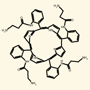 NCCC(=O)Nc1ccccc1-c1c2nc(c(-c3ccccc3NC(=O)CCN)c3ccc([nH]3)c(-c3ccccc3NC(=O)CCN)c3nc(c(-c4ccccc4NC(=O)CCN)c4ccc1[nH]4)C=C3)C=C2